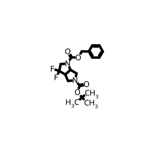 CC(C)(C)OC(=O)N1CC2C(C1)C(F)(F)CN2C(=O)OCc1ccccc1